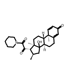 C[C@@H]1CC2(O)[C@@H]3CCC4=CC(=O)C=C[C@]4(C)[C@H]3CC[C@]2(C)[C@H]1C(=O)C(=O)N1CCCCC1